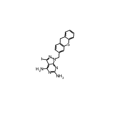 Nc1nc(N)c2c(I)nn(Cc3ccc4c(c3)Sc3ccccc3C4)c2n1